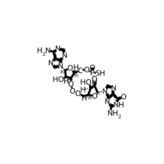 Nc1nc2c(ncn2[C@@H]2O[C@@H]3COOO[C@H]4[C@@H](O)[C@H](n5cnc6c(N)ncnc65)O[C@@H]4COP(=O)(S)O[C@@H]2[C@@H]3O)c(=O)[nH]1